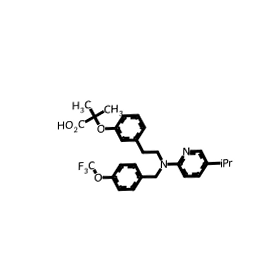 CC(C)c1ccc(N(CCc2cccc(OC(C)(C)C(=O)O)c2)Cc2ccc(OC(F)(F)F)cc2)nc1